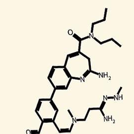 CCCN(CCC)C(=O)C1=Cc2ccc(-c3ccc(C=O)c(/C=C\N(C)CC/C(N)=N/NC)c3)cc2N=C(N)C1